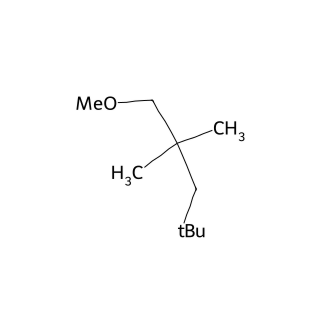 COCC(C)(C)CC(C)(C)C